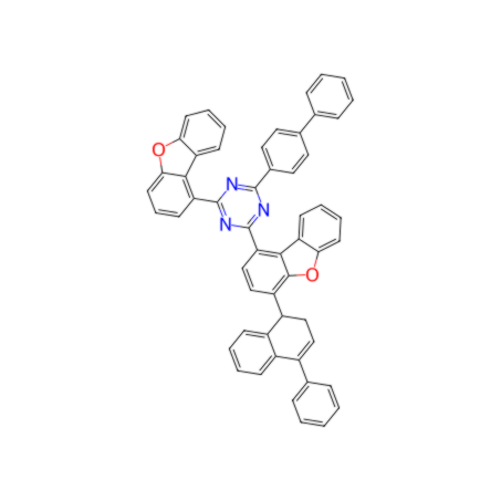 C1=C(c2ccccc2)c2ccccc2C(c2ccc(-c3nc(-c4ccc(-c5ccccc5)cc4)nc(-c4cccc5oc6ccccc6c45)n3)c3c2oc2ccccc23)C1